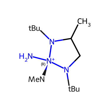 CN[N@+]1(N)N(C(C)(C)C)CC(C)N1C(C)(C)C